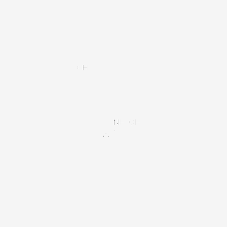 CCCCCCCCNC(=O)c1cc2ccccc2cc1O